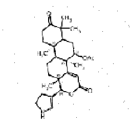 CC(=O)O[C@@H]1CC2C(C)(C)C(=O)CC[C@]2(C)C2CC[C@]3(C)C(=CC(=O)O[C@H]3C3=CNCC3)[C@@]21C